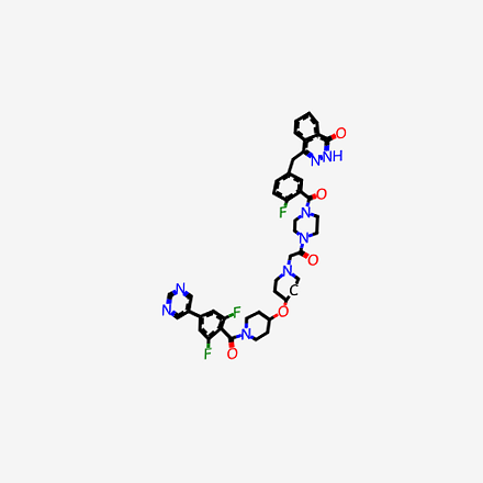 O=C(CN1CCC(OC2CCN(C(=O)c3c(F)cc(-c4cncnc4)cc3F)CC2)CC1)N1CCN(C(=O)c2cc(Cc3n[nH]c(=O)c4ccccc34)ccc2F)CC1